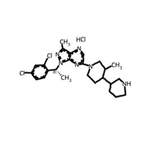 Cc1nn([C@H](C)c2ccc(Cl)cc2Cl)c2nc(N3CCC(C4CCCNC4)C(C)C3)cnc12.Cl